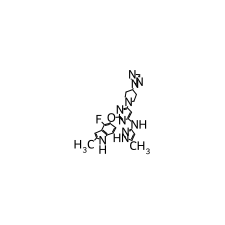 Cc1cc(Nc2cc(N3CCC(n4cncn4)CC3)nc(Oc3ccc4[nH]c(C)cc4c3F)n2)n[nH]1